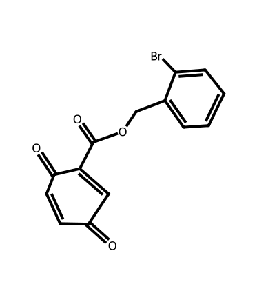 O=C1C=CC(=O)C(C(=O)OCc2ccccc2Br)=C1